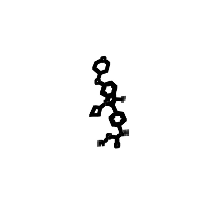 CC(C)OC(=O)Nc1ccc(-c2c(F)c3ccc(OC4CCOCC4)cc3n2C2CCC2)cc1